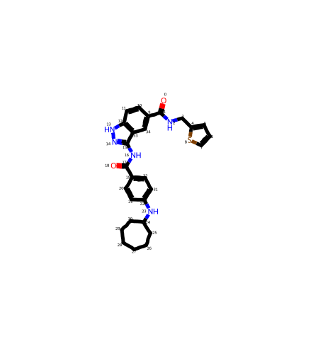 O=C(NCc1cccs1)c1ccc2[nH]nc(NC(=O)c3ccc(NC4CCCCCC4)cc3)c2c1